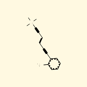 C[Si](C)(C)C#C/C=C/C#Cc1ccccc1C#N